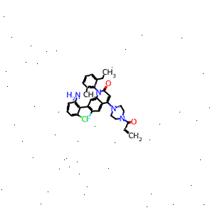 C=CC(=O)N1CCN(c2cc(=O)n(-c3c(C)cccc3CC)c3cc(-c4c(N)cccc4Cl)c(F)cc23)CC1